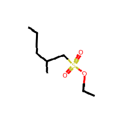 CCCC(C)CS(=O)(=O)OCC